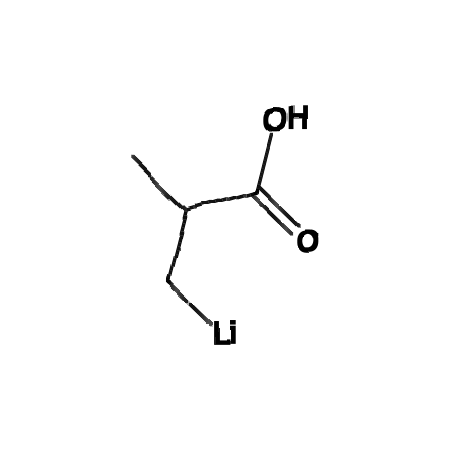 [Li][CH2]C(C)C(=O)O